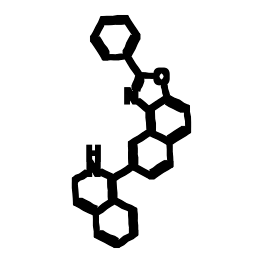 C1=c2ccccc2=C(c2ccc3ccc4oc(-c5ccccc5)nc4c3c2)NC1